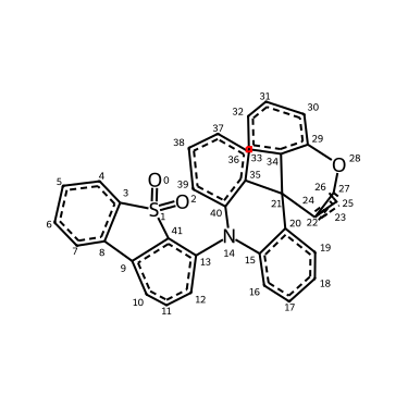 O=S1(=O)c2ccccc2-c2cccc(N3c4ccccc4C4(c5ccccc5Oc5ccccc54)c4ccccc43)c21